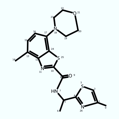 Cc1csc(C(C)NC(=O)c2nc3c(C)ccc(N4CCOCC4)c3s2)n1